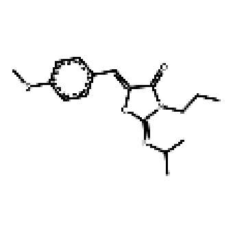 CCCN1C(=O)C(=Cc2ccc(SC)cc2)O/C1=N/C(C)C